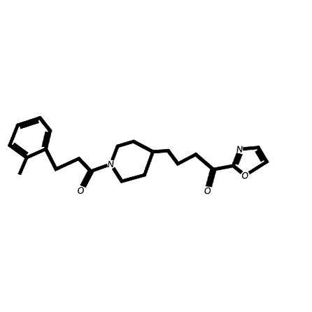 Cc1ccccc1CCC(=O)N1CCC(CCCC(=O)c2ncco2)CC1